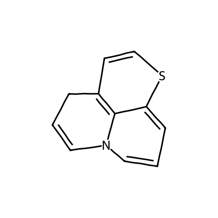 C1=CN2C=CCC3=C2C(=C1)SC=C3